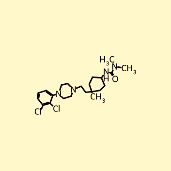 CN(C)C(=O)NC1CCC(C)(CCN2CCN(c3cccc(Cl)c3Cl)CC2)CC1